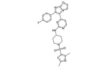 Cc1nc(C)c(S(=O)(=O)N2CCC(Nc3nccc(-c4c(-c5ccc(F)cc5)nc5occn45)n3)CC2)s1